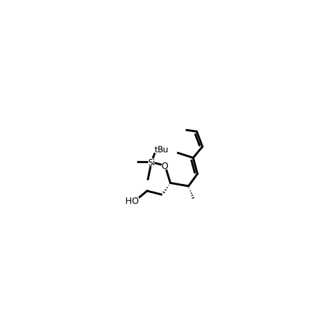 C/C=C\C(C)=C\[C@H](C)[C@H](CCO)O[Si](C)(C)C(C)(C)C